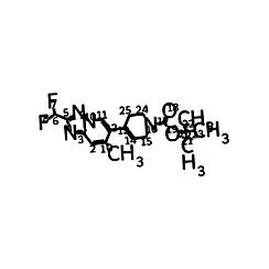 Cc1cc2nc(C(F)F)nn2cc1C1=CCN(C(=O)OC(C)(C)C)CC1